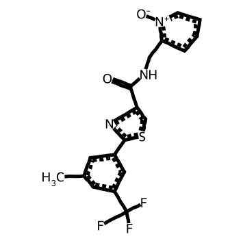 Cc1cc(-c2nc(C(=O)NCc3cccc[n+]3[O-])cs2)cc(C(F)(F)F)c1